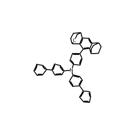 c1ccc(-c2ccc(N(c3ccc(-c4ccccc4)cc3)c3ccc(-c4c5c(cc6c4C4CCC6CC4)C4CCC5CC4)cc3)cc2)cc1